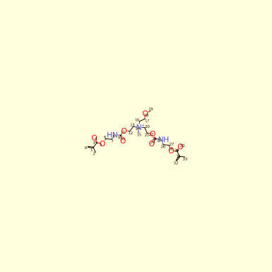 C=C(C)C(=O)OCCNC(=O)OCC[N+](C)(CCOC)CCOC(=O)NCCOC(=O)C(=C)C